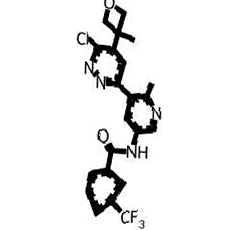 Cc1ncc(NC(=O)c2cccc(C(F)(F)F)c2)cc1-c1cc(C2(C)COC2)c(Cl)nn1